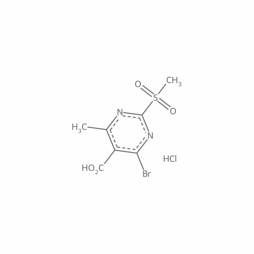 Cc1nc(S(C)(=O)=O)nc(Br)c1C(=O)O.Cl